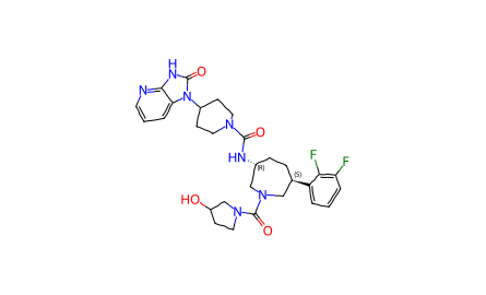 O=C(N[C@@H]1CC[C@@H](c2cccc(F)c2F)CN(C(=O)N2CCC(O)C2)C1)N1CCC(n2c(=O)[nH]c3ncccc32)CC1